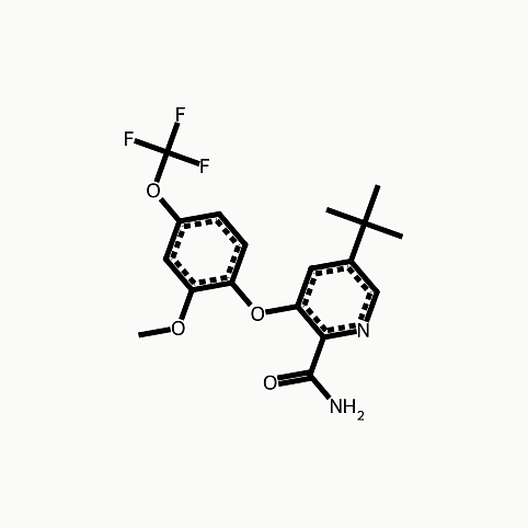 COc1cc(OC(F)(F)F)ccc1Oc1cc(C(C)(C)C)cnc1C(N)=O